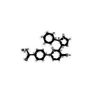 NC(=O)c1ccc(-n2ccc(=O)c(-c3ccnn3-c3ccccc3)n2)cc1